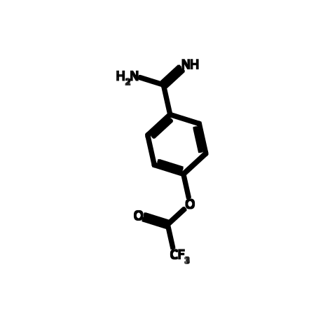 N=C(N)c1ccc(OC(=O)C(F)(F)F)cc1